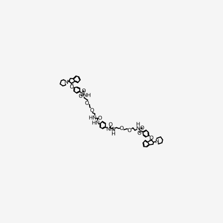 O=C(NCCOCCOCCNS(=O)(=O)c1ccc(O[C@H]2c3ccccc3CC2N2CCCCC2)cc1)Nc1ccc(NC(=O)NCCOCCOCCNS(=O)(=O)c2ccc(O[C@H]3c4ccccc4C[C@@H]3N3CCCCC3)cc2)cc1